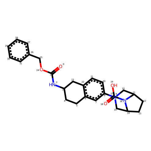 O=C(NC1CCc2cc(N3CC4CCC(C3)N4C(=O)O)ccc2C1)OCc1ccccc1